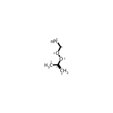 C=C(C)OOCCCC